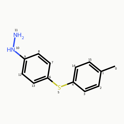 Cc1ccc(Sc2ccc(NN)cc2)cc1